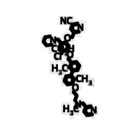 Cc1c(COc2cc(OCc3cncc(C#N)c3)c(CN3CCCC[C@H]3C(=O)O)cc2Cl)cccc1-c1cccc(OCCCN(C)Cc2cccnc2)c1C